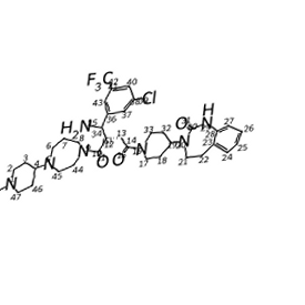 CN1CCC(N2CCCN(C(=O)[C@@H](CC(=O)N3CCC(N4CCc5ccccc5NC4=O)CC3)C(N)c3cc(Cl)cc(C(F)(F)F)c3)CC2)CC1